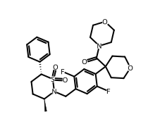 C[C@H]1CC[C@H](c2ccccc2)S(=O)(=O)N1Cc1cc(F)c(C2(C(=O)N3CCOCC3)CCOCC2)cc1F